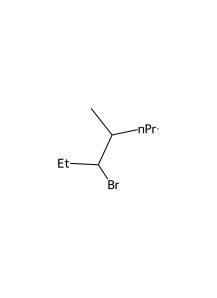 CC[CH]C(C)C(Br)CC